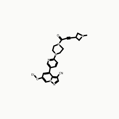 CCOc1cc(-c2ccc(N3CCN(C(=O)C#CC4CN(C)C4)CC3)nc2)c2c(C#N)cnn2c1